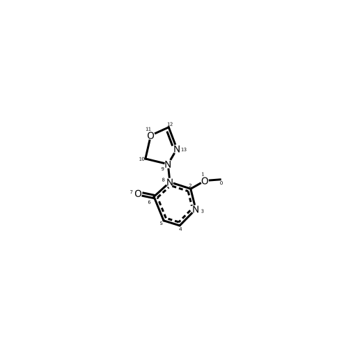 COc1nccc(=O)n1N1COC=N1